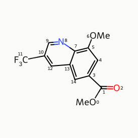 COC(=O)c1cc(OC)c2ncc(C(F)(F)F)cc2c1